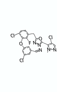 Cn1ncc(Cl)c1-c1nnc(Cc2ccc(Cl)c(Oc3cc(Cl)cc(C#N)c3)c2F)o1